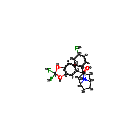 O=C(c1ccc2c(c1)OC(F)(F)O2)N1C2CCC1CC(c1ccc(F)cc1)C2